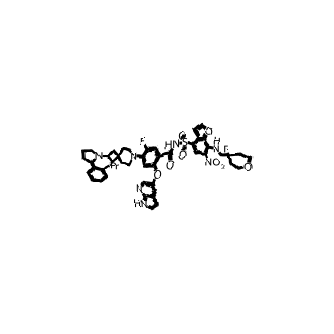 CC(C)c1ccccc1C1CCCN1C1CC2(CCN(c3cc(Oc4cnc5[nH]ccc5c4)c(C(=O)NS(=O)(=O)c4cc([N+](=O)[O-])c(NCC5(F)CCOCC5)c5occc45)cc3F)CC2)C1